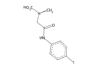 CN(CC(=O)Nc1ccc(I)cc1)C(=O)O